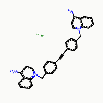 Nc1cc[n+](Cc2ccc(C#Cc3ccc(C[n+]4ccc(N)c5ccccc54)cc3)cc2)c2ccccc12.[Br-].[Br-]